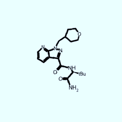 CC(C)(C)[C@H](NC(=O)c1nn(CC2CCOCC2)c2ncccc12)C(N)=O